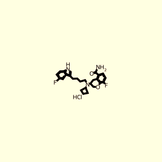 Cl.NC(=O)c1ccc(F)c2c1CC(N(CCCCc1c[nH]c3ccc(F)cc13)C1CCC1)CO2